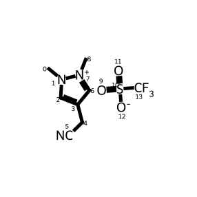 Cn1cc(CC#N)c[n+]1C.O=S(=O)([O-])C(F)(F)F